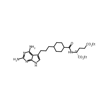 CCOC(=O)CC[C@@H](NC(=O)C1CCC(CCCc2c[nH]c3nc(N)nc(N)c23)CC1)C(=O)OCC